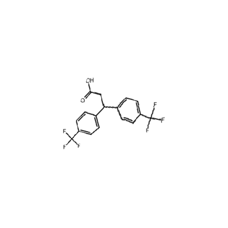 O=C(O)CC(c1ccc(C(F)(F)F)cc1)c1ccc(C(F)(F)F)cc1